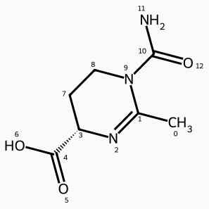 CC1=N[C@H](C(=O)O)CCN1C(N)=O